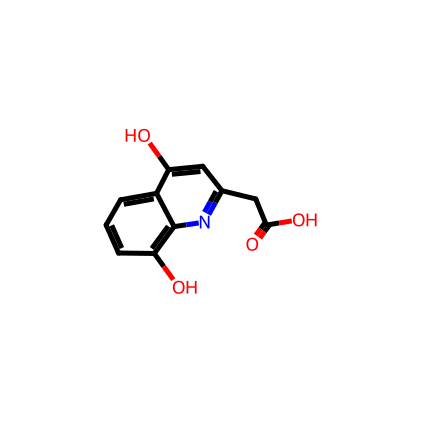 O=C(O)Cc1cc(O)c2cccc(O)c2n1